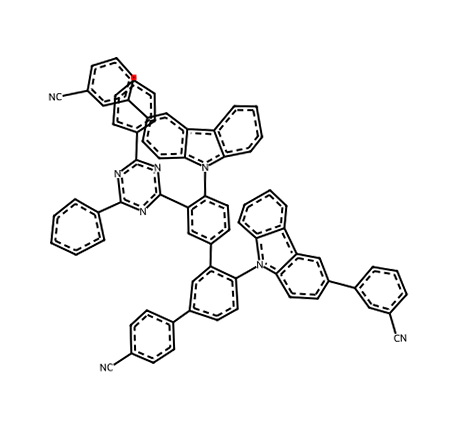 N#Cc1ccc(-c2ccc(-n3c4ccccc4c4cc(-c5cccc(C#N)c5)ccc43)c(-c3ccc(-n4c5ccccc5c5cc(-c6cccc(C#N)c6)ccc54)c(-c4nc(-c5ccccc5)nc(-c5ccccc5)n4)c3)c2)cc1